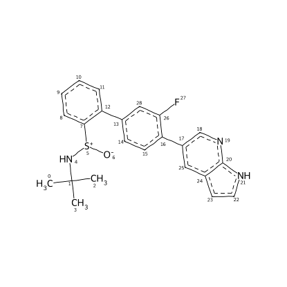 CC(C)(C)N[S+]([O-])c1ccccc1-c1ccc(-c2cnc3[nH]ccc3c2)c(F)c1